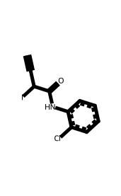 C#CC(I)C(=O)Nc1ccccc1Cl